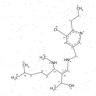 CCCc1ncc(CN/C=C(/C(C)O)C(CCCC(C)C)NC)cc1Cl